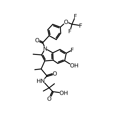 Cc1c(C(C)C(=O)NC(C)(C)C(=O)O)c2cc(O)c(F)cc2n1C(=O)c1ccc(OC(F)(F)F)cc1